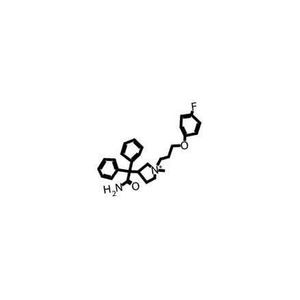 C[N+]1(CCCOc2ccc(F)cc2)CCC(C(C(N)=O)(c2ccccc2)c2ccccc2)C1